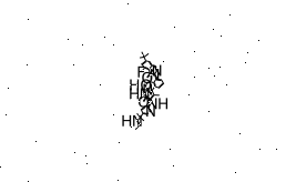 CCNC(C)(C)c1ccc(Nc2c(C)c(-c3cccc(-n4ncc5cc(C(C)(C)C)cc(F)c5c4=O)c3CO)n[nH]c2=O)nc1